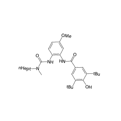 CCCCCCCN(C)C(=O)Nc1ccc(OC)cc1NC(=O)c1cc(C(C)(C)C)c(O)c(C(C)(C)C)c1